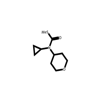 CSC(=O)N(C1CCOCC1)C1CC1